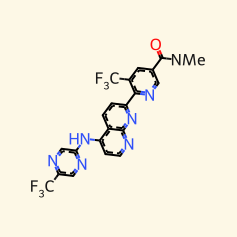 CNC(=O)c1cnc(-c2ccc3c(Nc4cnc(C(F)(F)F)cn4)ccnc3n2)c(C(F)(F)F)c1